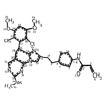 C=CC(=O)Nc1ccc(CCc2cn3c(n2)c(-c2c(Cl)c(OC)cc(OC)c2Cl)cc2cnc(NC)nc23)cc1